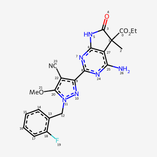 CCOC(=O)C1(C)C(=O)Nc2nc(-c3nn(Cc4ccccc4F)c(OC)c3C#N)nc(N)c21